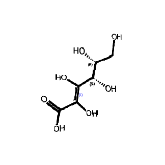 O=C(O)/C(O)=C(\O)[C@@H](O)[C@H](O)CO